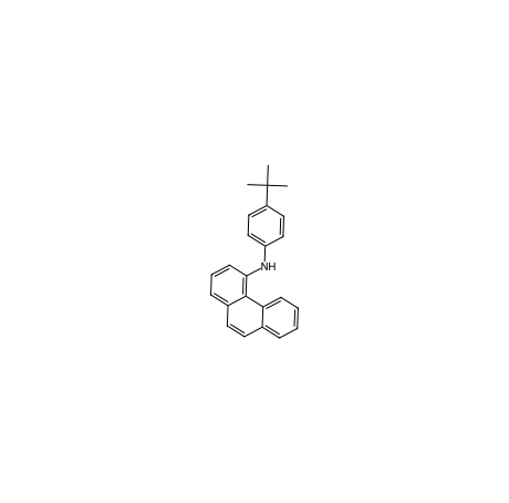 CC(C)(C)c1ccc(Nc2cccc3ccc4ccccc4c23)cc1